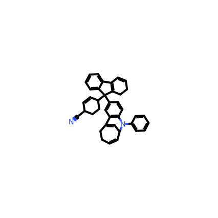 N#CC1C=CC(C2(c3ccc4c(c3)C3=CC(C=CCC3)N4c3ccccc3)C3=C(C=CCC3)c3ccccc32)CC1